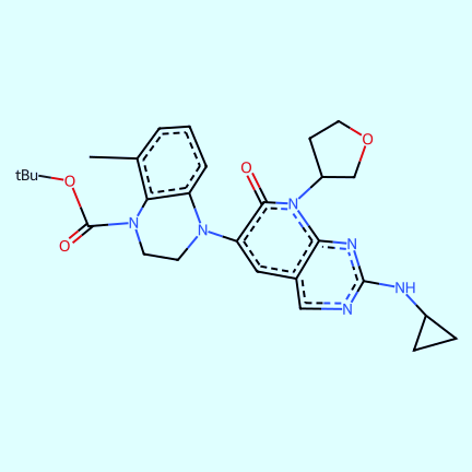 Cc1cccc2c1N(C(=O)OC(C)(C)C)CCN2c1cc2cnc(NC3CC3)nc2n(C2CCOC2)c1=O